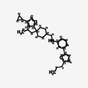 CCCc1ncc(-c2cccc(NCC3CCC(CCC)(c4nc(C5CC5)no4)CC3)c2)o1